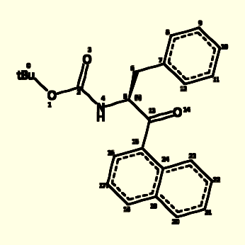 CC(C)(C)OC(=O)N[C@@H](Cc1ccccc1)C(=O)c1c[c]cc2ccccc12